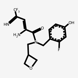 N=C(/C=C(\N)C(=O)N(Cc1ccc(O)cc1F)CC1COC1)C(F)(F)F